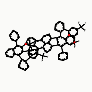 FC(F)(F)c1cc(-c2ccccc2-c2c3c(c(-c4ccccc4)c4ccccc24)-c2ccc4c5ccc6c7c(ccc(c8ccc-3c2c48)c75)-c2c-6c(-c3ccccc3-c3cc(C(F)(F)F)cc(C(F)(F)F)c3)c3ccccc3c2-c2ccccc2)cc(C(F)(F)F)c1